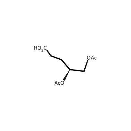 CC(=O)OC[C@H](CCC(=O)O)OC(C)=O